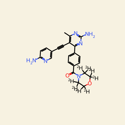 [2H]C1([2H])OC([2H])([2H])C([2H])([2H])N(C(=O)c2ccc(-c3nc(N)nc(C)c3C#Cc3ccc(N)nc3)cc2)C1([2H])[2H]